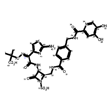 CC(C)(O/N=C(\C(=O)N[C@@H]1C(=O)N(S(=O)(=O)O)[C@@H]1CNC(=O)c1ccc(CNC(=O)c2cc(O)c(O)cn2)cc1)c1csc(N)n1)C(=O)O